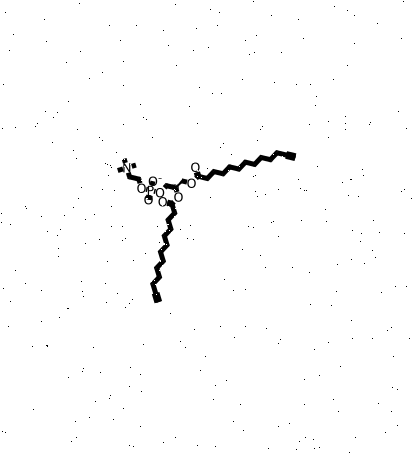 C#CCCCCCCCCCCC(=O)OC[C@H](COP(=O)([O-])OCC[N+](C)(C)C)OC(=O)CCCCCCCCCCC#C